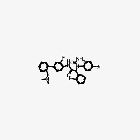 CN(C)Cc1ccccc1-c1ccc(NC(=O)C(c2ccccc2F)N(C(N)=O)c2ccc(Br)cc2)c(F)c1